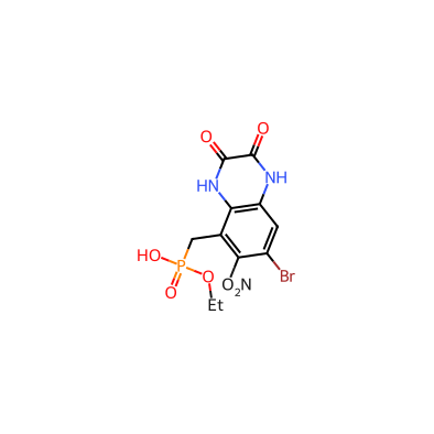 CCOP(=O)(O)Cc1c([N+](=O)[O-])c(Br)cc2[nH]c(=O)c(=O)[nH]c12